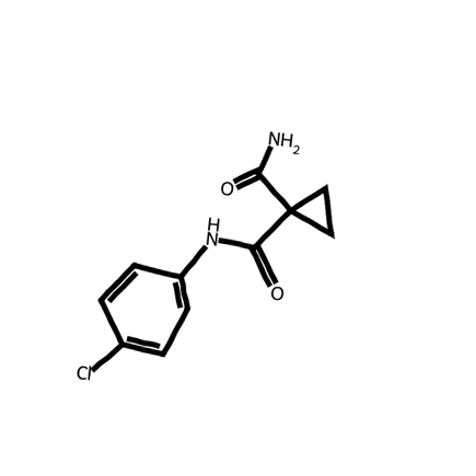 NC(=O)C1(C(=O)Nc2ccc(Cl)cc2)CC1